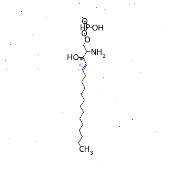 CCCCCCCCCCCCC/C=C/[C@@H](O)C(N)COO[PH](=O)O